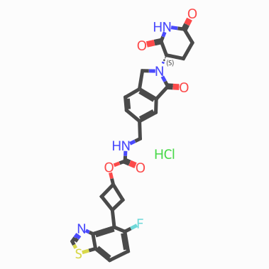 Cl.O=C1CC[C@H](N2Cc3ccc(CNC(=O)OC4CC(c5c(F)ccc6scnc56)C4)cc3C2=O)C(=O)N1